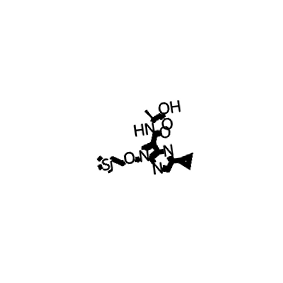 C[C@H](NC(=O)c1cn(COCC[Si](C)(C)C)c2ncc(C3CC3)nc12)C(=O)O